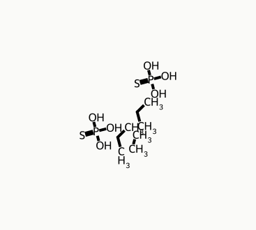 CC.CCC.CCC.OP(O)(O)=S.OP(O)(O)=S